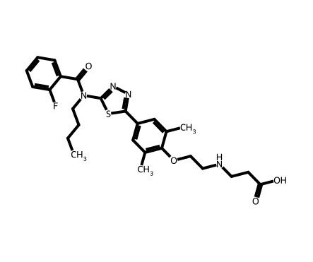 CCCCN(C(=O)c1ccccc1F)c1nnc(-c2cc(C)c(OCCNCCC(=O)O)c(C)c2)s1